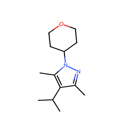 Cc1nn(C2CCOCC2)c(C)c1C(C)C